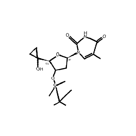 Cc1cn([C@H]2CC(O[Si](C)(C)C(C)(C)C)[C@@H](C3(O)CC3)O2)c(=O)[nH]c1=O